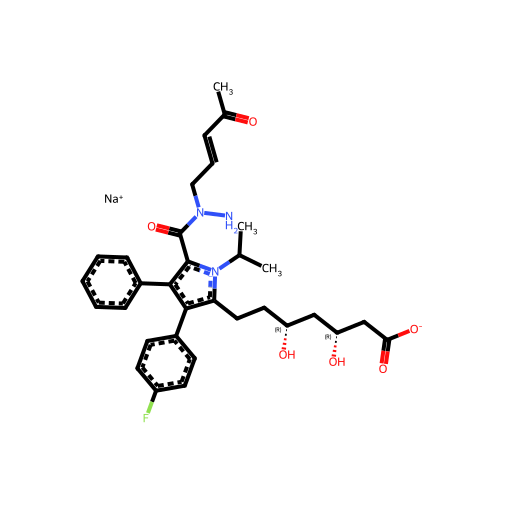 CC(=O)C=CCN(N)C(=O)c1c(-c2ccccc2)c(-c2ccc(F)cc2)c(CC[C@@H](O)C[C@@H](O)CC(=O)[O-])n1C(C)C.[Na+]